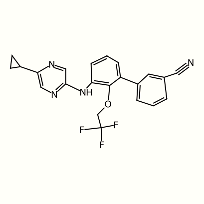 N#Cc1cccc(-c2cccc(Nc3cnc(C4CC4)cn3)c2OCC(F)(F)F)c1